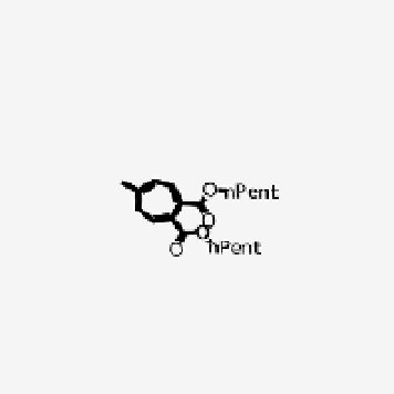 CCCCCOC(=O)C1=CC=C(C)CC=C1C(=O)OCCCCC